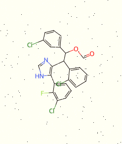 O=COC(c1cccc(Cl)c1)C(c1ccccc1Cl)c1nc[nH]c1-c1cccc(Cl)c1F